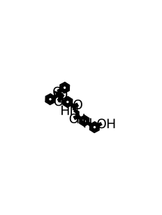 O=C(NCC(=O)N1CCN(c2cccc(O)c2)CC1)c1ccc(S(=O)(=O)N(Oc2ccccc2)c2ccccc2)cc1